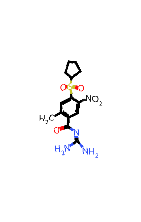 Cc1cc(S(=O)(=O)C2CCCC2)c([N+](=O)[O-])cc1C(=O)N=C(N)N